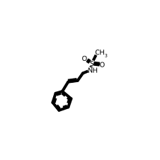 CS(=O)(=O)NCC=Cc1ccccc1